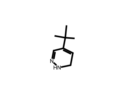 CC(C)(C)C1=CCNN=C1